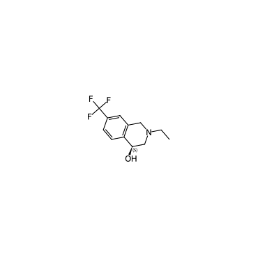 CCN1Cc2cc(C(F)(F)F)ccc2[C@H](O)C1